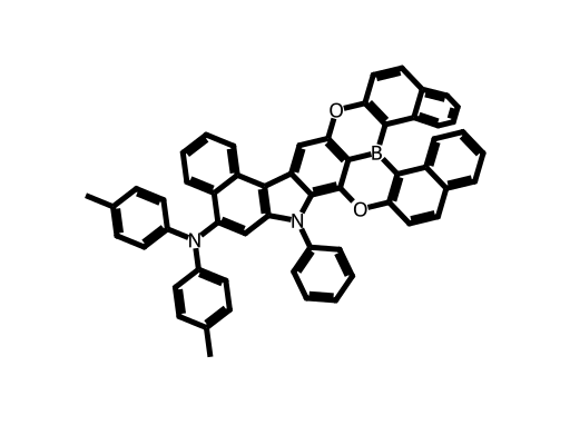 Cc1ccc(N(c2ccc(C)cc2)c2cc3c(c4ccccc24)c2cc4c5c(c2n3-c2ccccc2)Oc2ccc3ccccc3c2B5c2c(ccc3ccccc23)O4)cc1